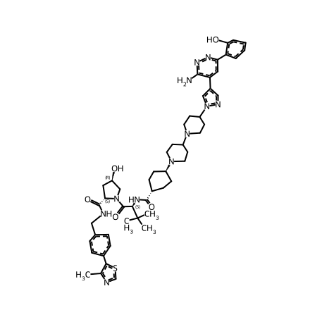 Cc1ncsc1-c1ccc(CNC(=O)[C@@H]2C[C@@H](O)CN2C(=O)[C@@H](NC(=O)[C@H]2CC[C@H](N3CCC(N4CCC(n5cc(-c6cc(-c7ccccc7O)nnc6N)cn5)CC4)CC3)CC2)C(C)(C)C)cc1